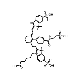 CC1(C)C(/C=C/C2=C(c3ccc(C(=O)NCCS(=O)(=O)O)cc3)C(=C/C=C3/Nc4ccc(S(=O)(=O)O)cc4C3(C)C)/CCC2)=[N+](CCCCCC(=O)O)c2ccc(S(=O)(=O)O)cc21